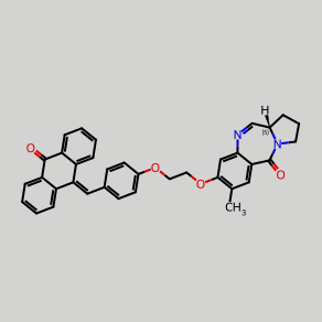 Cc1cc2c(cc1OCCOc1ccc(C=C3c4ccccc4C(=O)c4ccccc43)cc1)N=C[C@@H]1CCCN1C2=O